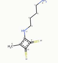 Cc1c(NCCCCN)c(=S)c1=S